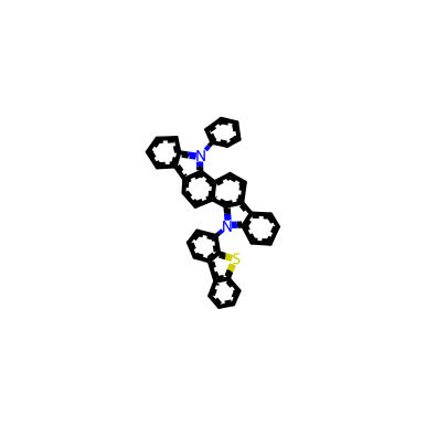 c1ccc(-n2c3ccccc3c3ccc4c(ccc5c6ccccc6n(-c6cccc7c6sc6ccccc67)c54)c32)cc1